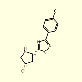 Cc1ccc(-c2noc([C@@H]3C[C@H](O)CN3)n2)cc1